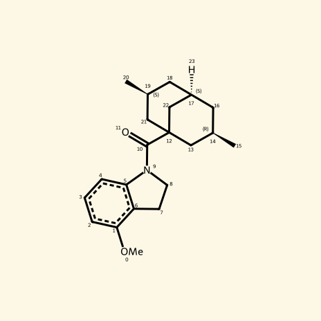 COc1cccc2c1CCN2C(=O)C12C[C@H](C)C[C@H](C[C@H](C)C1)C2